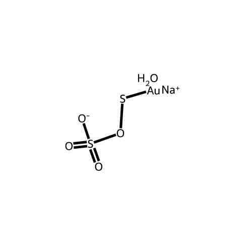 O.O=S(=O)([O-])O[S][Au].[Na+]